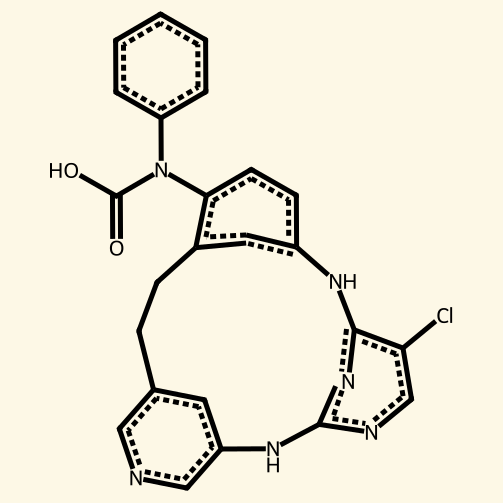 O=C(O)N(c1ccccc1)c1ccc2cc1CCc1cncc(c1)Nc1ncc(Cl)c(n1)N2